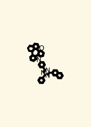 C1=c2ccc3oc4ccc5c6c7c(cccc7n5-c5ccc(-c7nc(-c8ccccc8)nc(-c8ccc9ccccc9c8)n7)cc5)C(=c2c3c46)CC1